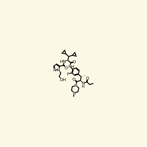 CCC(=O)N[C@@H](C(=O)N1CCN(C)CC1)[C@@H](C)c1ccc(NC(=O)[C@@H](NC(=O)c2ccnn2CCO)C(C2CC2)C2CC2)c(F)c1